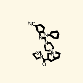 N#Cc1ccc2c(c1)nc(N1CCN([N@@+]34C=CC=C3C=C(C(=O)N3CCSC3)C4)CC1)n2-c1ccccc1